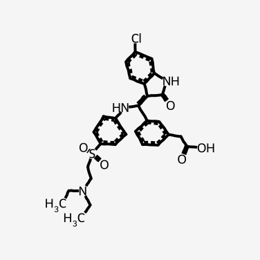 CCN(CC)CCS(=O)(=O)c1ccc(NC(=C2C(=O)Nc3cc(Cl)ccc32)c2cccc(CC(=O)O)c2)cc1